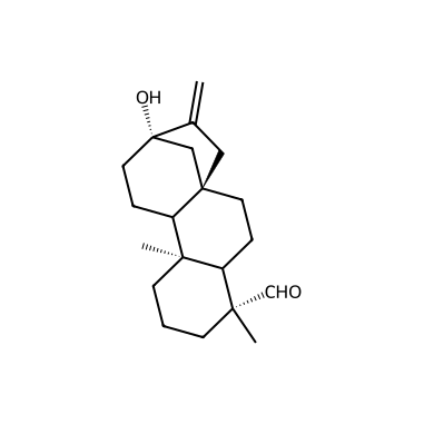 C=C1C[C@@]23CCC4[C@@](C)(CCC[C@@]4(C)C=O)C2CC[C@]1(O)C3